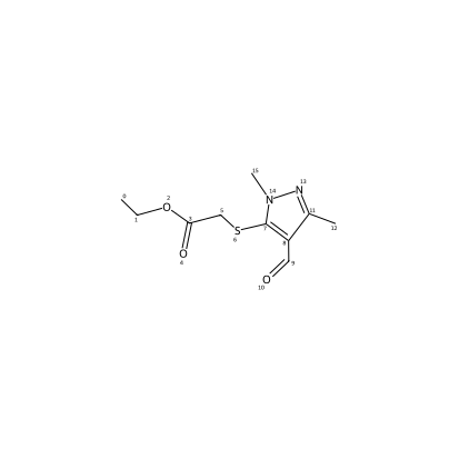 CCOC(=O)CSc1c(C=O)c(C)nn1C